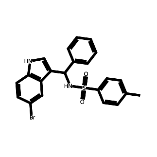 Cc1ccc(S(=O)(=O)NC(c2ccccc2)c2c[nH]c3ccc(Br)cc23)cc1